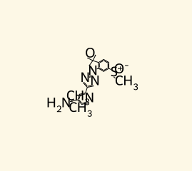 CC[S+]([O-])c1ccc2c(c1)N(c1ncc(-c3cc(C(C)(C)N)ccn3)cn1)CC21COC1